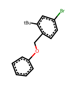 CC(C)(C)c1cc(Br)ccc1COc1ccccc1